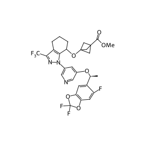 COC(=O)C12CC(OC3CCCc4c(C(F)(F)F)nn(-c5cncc(O[C@@H](C)c6cc7c(cc6F)OC(F)(F)O7)c5)c43)(C1)C2